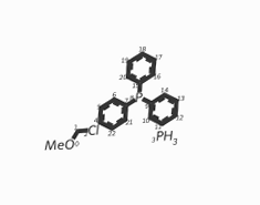 COCCl.P.c1ccc(P(c2ccccc2)c2ccccc2)cc1